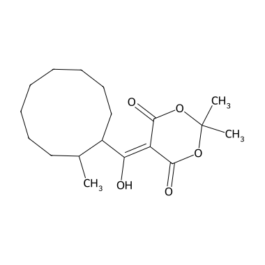 CC1CCCCCCCCC1C(O)=C1C(=O)OC(C)(C)OC1=O